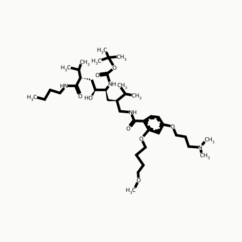 CCCCNC(=O)[C@@H](C[C@H](O)[C@H](C[C@H](CNC(=O)c1ccc(OCCCN(C)C)cc1OCCCCOC)C(C)C)NC(=O)OC(C)(C)C)C(C)C